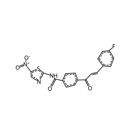 O=C(/C=C/c1ccc(F)cc1)c1ccc(C(=O)Nc2ncc([N+](=O)[O-])s2)cc1